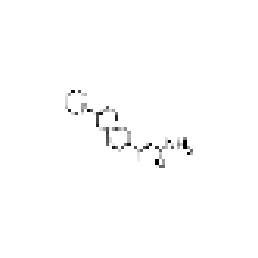 CC(=CC(N)=O)c1ccc2cc(N3CCCCC3)ccc2c1